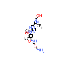 CCc1cc(Nc2nccn3c(-c4cn(CCO)nc4C(F)(F)F)cnc23)ccc1C(=O)NCCOCCN.O=CO